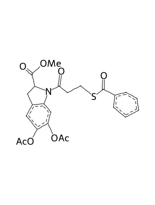 COC(=O)C1Cc2cc(OC(C)=O)c(OC(C)=O)cc2N1C(=O)CCSC(=O)c1ccccc1